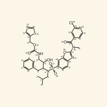 CC(C)CN(C(Cc1ccccc1)C(O)CNC(=O)OCc1cncs1)S(=O)(=O)c1ccc2nc(N(C)C(=O)c3ccnc(Cl)c3)oc2c1